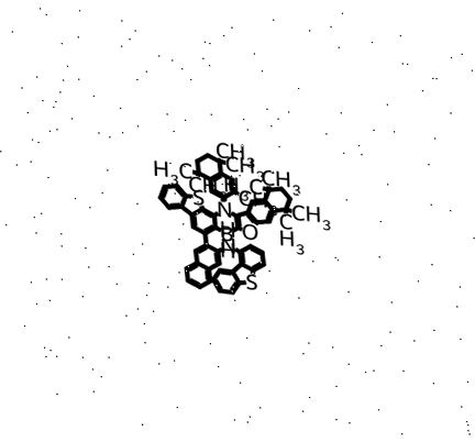 Cc1cc2c(cc1N1c3c(oc4cc5c(cc34)C(C)(C)CCC5(C)C)Bc3c(-c4cc5ccccc5cc4Nc4cccc5sc6ccccc6c45)cc4c(sc5ccccc54)c31)C(C)(C)CCC2(C)C